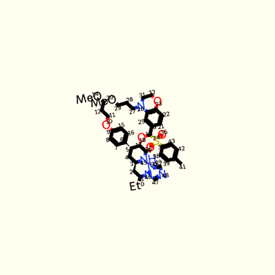 CCC(C[C@H]1C[C@H](c2ccc(OCCCOC)cc2)[C@@H](OC(c2ccc3c(c2)N(CCCOC)CCO3)S(=O)(=O)c2ccc(C)cc2)CN1)n1cncn1